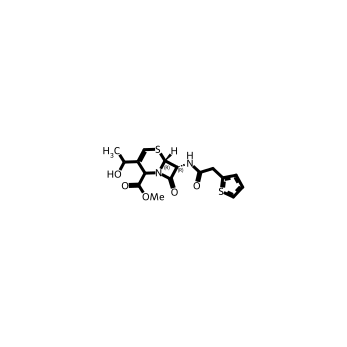 COC(=O)C1C(C(C)O)=CS[C@@H]2[C@H](NC(=O)Cc3cccs3)C(=O)N12